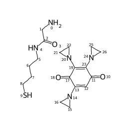 NCC(=O)NCCCCS.O=C1C=C(N2CC2)C(=O)C(N2CC2)=C1N1CC1